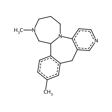 Cc1ccc2c(c1)Cc1cnccc1N1CCCN(C)CC21